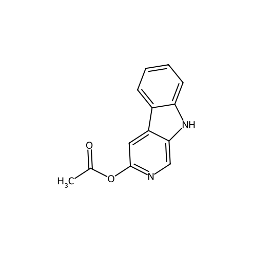 CC(=O)Oc1cc2c(cn1)[nH]c1ccccc12